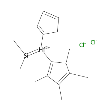 CC1=C(C)C(C)[C]([Hf+2]([C]2=CC=CC2)=[Si](C)C)=C1C.[Cl-].[Cl-]